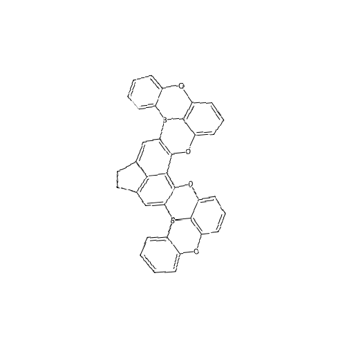 c1ccc2c(c1)Oc1cccc3c1B2c1cc2c4c(cc5c(c4c1O3)Oc1cccc3c1B5c1ccccc1O3)CC2